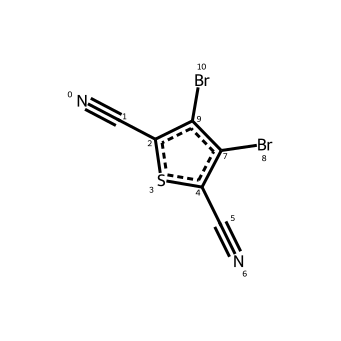 N#Cc1sc(C#N)c(Br)c1Br